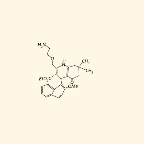 CCOC(=O)C1=C(COCCN)NC2=C(C(=O)CC(C)(C)C2)C1c1c(OC)ccc2ccccc12